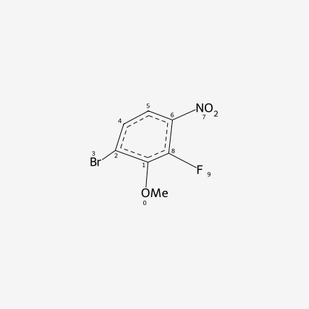 COc1c(Br)ccc([N+](=O)[O-])c1F